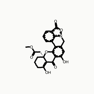 COC(=O)C[C@@]12CCCC(O)=C1C(=O)c1c(O)cc3c(c1O2)-c1cccc2c(=O)on(c12)C3